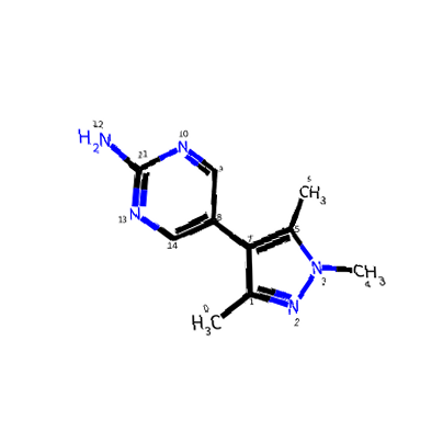 Cc1nn(C)c(C)c1-c1cnc(N)nc1